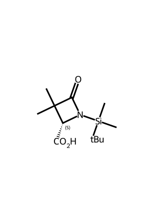 CC1(C)C(=O)N([Si](C)(C)C(C)(C)C)[C@@H]1C(=O)O